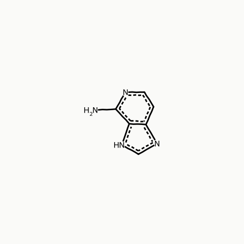 Nc1nccc2nc[nH]c12